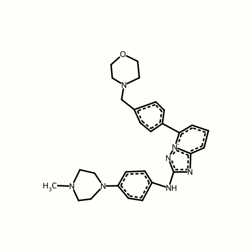 CN1CCN(c2ccc(Nc3nc4cccc(-c5ccc(CN6CCOCC6)cc5)n4n3)cc2)CC1